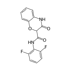 O=C1Nc2ccccc2OC1C(=O)Nc1c(F)cccc1F